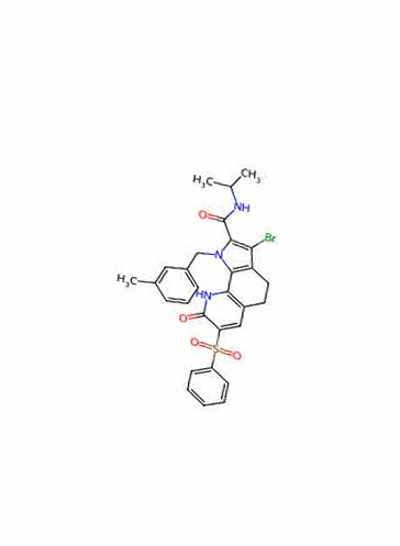 Cc1cccc(Cn2c(C(=O)NC(C)C)c(Br)c3c2-c2[nH]c(=O)c(S(=O)(=O)c4ccccc4)cc2CC3)c1